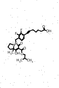 CC(C)COC(=O)C1=C(O)C2(C)CCCN2N(Cc2ccc(C#CCCCCC(=O)O)c(F)c2F)C1=O